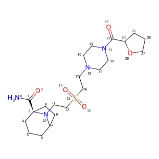 NC(=O)[C@@]12C[CH]CC(CC1)N2CCS(=O)(=O)CCN1CCN(C(=O)C2CCCO2)CC1